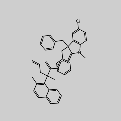 C=CCC(C)(C(=C)/C=C/C=C1/N(C)c2ccc(Cl)cc2C1(Cc1ccccc1)Cc1ccccc1)c1c(C)ccc2ccccc12